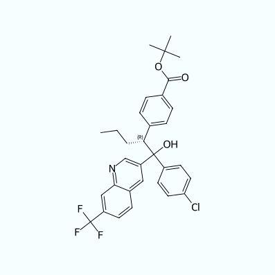 CCC[C@H](c1ccc(C(=O)OC(C)(C)C)cc1)C(O)(c1ccc(Cl)cc1)c1cnc2cc(C(F)(F)F)ccc2c1